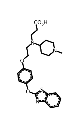 CN1CCC(N(CCOc2ccc(Oc3nc4ccccc4s3)cc2)CCC(=O)O)CC1